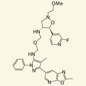 COCCN1C[C@@H](NCOCNc2c(C)c(-c3cnc4oc(C)nc4c3)nn2-c2ccccc2)[C@H](c2ccnc(F)c2)O1